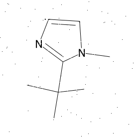 Cn1c[c]nc1C(C)(C)C